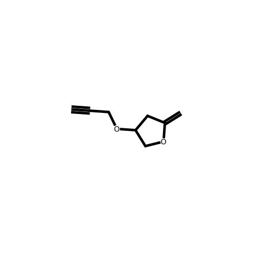 C#CCOC1COC(=C)C1